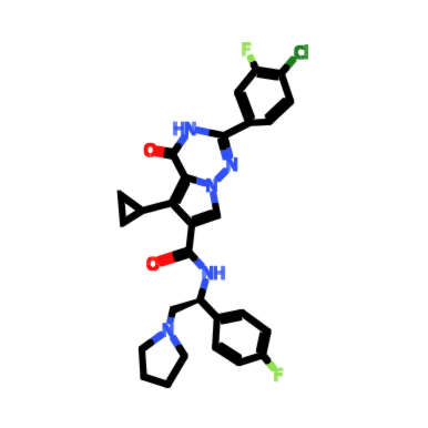 O=C(N[C@H](CN1CCCC1)c1ccc(F)cc1)c1cn2nc(-c3ccc(Cl)c(F)c3)[nH]c(=O)c2c1C1CC1